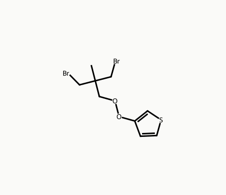 CC(CBr)(CBr)COOc1ccsc1